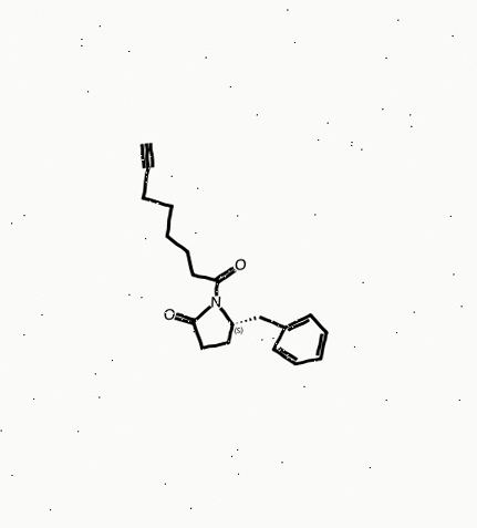 C#CCCCCCC(=O)N1C(=O)CC[C@H]1Cc1ccccc1